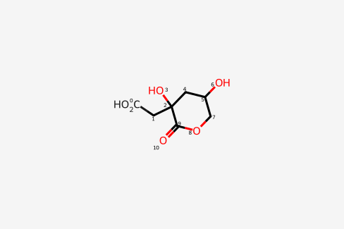 O=C(O)CC1(O)CC(O)COC1=O